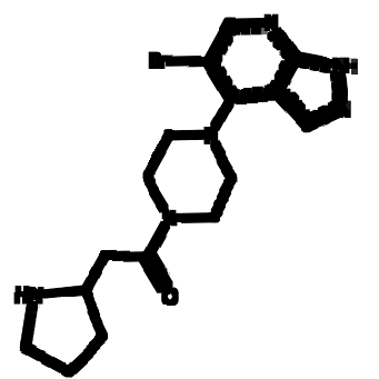 O=C(CC1CCCN1)N1CCN(c2c(Br)cnc3[nH]ncc23)CC1